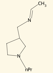 C/C=N/CC1CCN(CCC)C1